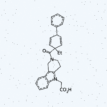 CCC1(C(=O)N2CCc3c(c4ccccc4n3CC(=O)O)C2)C=CC(c2ccccc2)C=C1